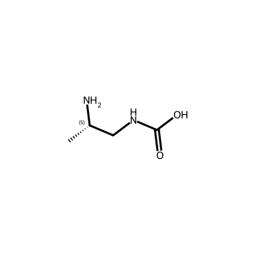 C[C@H](N)CNC(=O)O